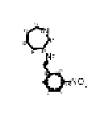 O=[N+]([O-])c1cccc(/C=N/[C@@H]2CCCCNC2)c1